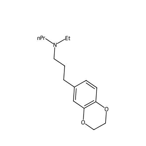 CCCN(CC)CCCc1ccc2c(c1)OCCO2